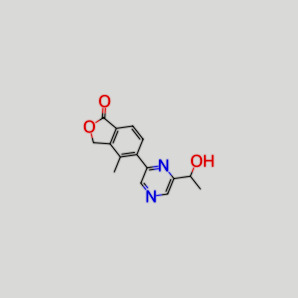 Cc1c(-c2cncc(C(C)O)n2)ccc2c1COC2=O